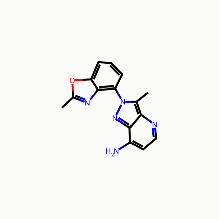 Cc1nc2c(-n3nc4c(N)ccnc4c3C)cccc2o1